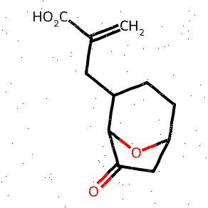 C=C(CC1CCC2CC(=O)C1O2)C(=O)O